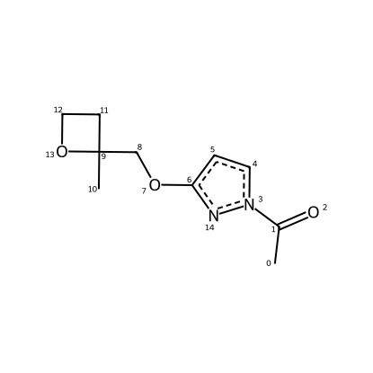 CC(=O)n1ccc(OCC2(C)CCO2)n1